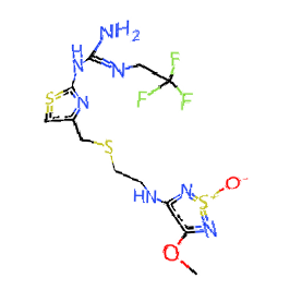 COc1n[s+]([O-])nc1NCCSCc1csc(NC(N)=NCC(F)(F)F)n1